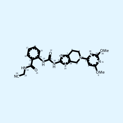 COc1cc(N2CCc3nc(NC(=O)Nc4ccccc4C(=O)NCC#N)sc3C2)nc(OC)n1